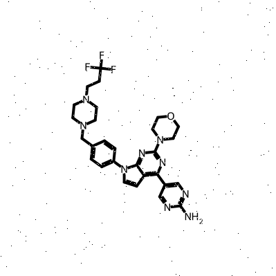 Nc1ncc(-c2nc(N3CCOCC3)nc3c2ccn3-c2ccc(CN3CCN(CCC(F)(F)F)CC3)cc2)cn1